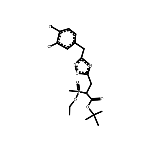 CCOP(C)(=O)C(Cc1nc(Cc2ccc(Cl)c(Cl)c2)no1)C(=O)OC(C)(C)C